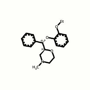 CCOc1ccccc1O[C@@H](c1ccccc1)[C@@H]1CN(C)CCO1